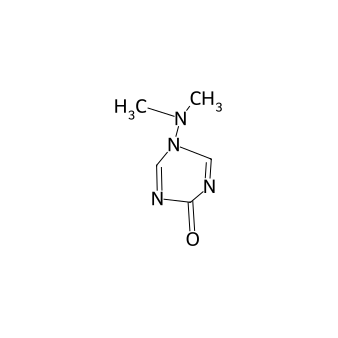 CN(C)n1cnc(=O)nc1